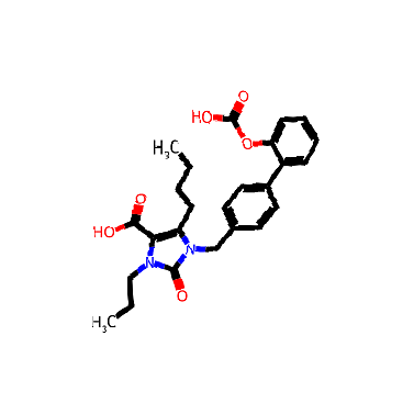 CCCCc1c(C(=O)O)n(CCC)c(=O)n1Cc1ccc(-c2ccccc2OC(=O)O)cc1